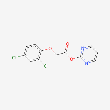 O=C(COc1ccc(Cl)cc1Cl)Oc1ncccn1